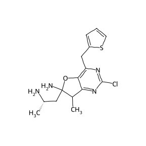 CC1c2nc(Cl)nc(Cc3cccs3)c2OC1(N)C[C@H](C)N